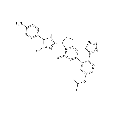 Nc1ccc(-c2[nH]c([C@@H]3CCc4cc(-c5cc(OC(F)F)ccc5-n5cnnn5)cc(=O)n43)nc2Cl)cn1